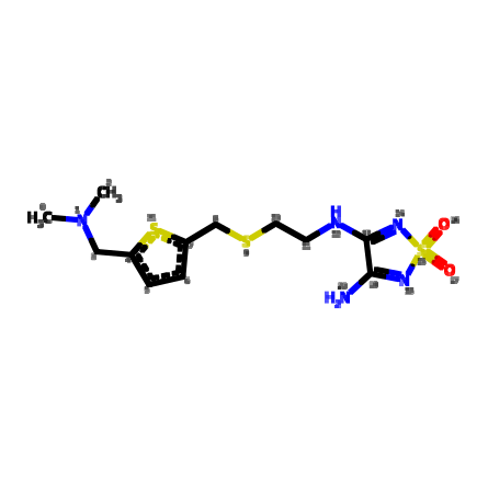 CN(C)Cc1ccc(CSCCNC2=NS(=O)(=O)N=C2N)s1